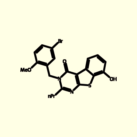 CCCc1nc2sc3c(O)cccc3c2c(=O)n1Cc1cc(Br)ccc1OC